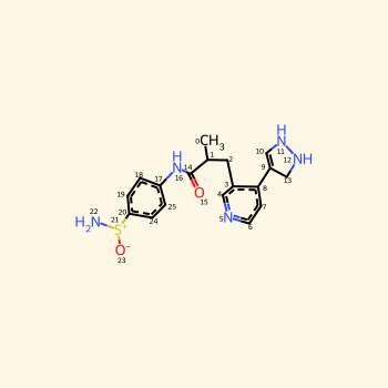 CC(Cc1cnccc1C1=CNNC1)C(=O)Nc1ccc([S+](N)[O-])cc1